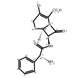 CCC1=C(C(=O)O)N2C(=O)[C@@H](NC(=O)[C@H](N)c3ccccc3)[C@H]2SC1